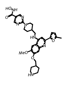 COc1cc2c(NCC3CCN(c4ncc(C(=O)NO)cn4)CC3)cc(-c3ccc(C)o3)nc2cc1OCC1CCNCC1